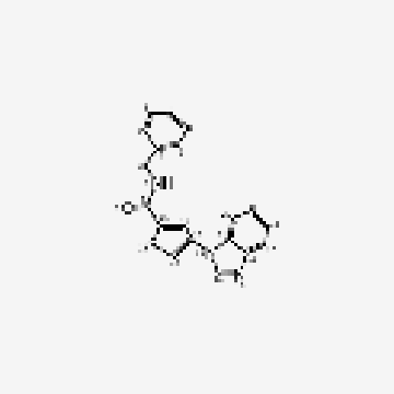 O=C(NCc1ccccc1)c1cc(-n2cnc3ccccc32)cs1